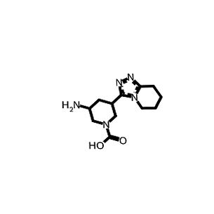 NC1CC(c2nnc3n2CCCC3)CN(C(=O)O)C1